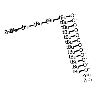 CC(C)(C)[O-].CC(C)(C)[O-].CC(C)(C)[O-].CC(C)(C)[O-].CC(C)(C)[O-].CC(C)(C)[O-].CC(C)(C)[O-].CC(C)(C)[O-].CC(C)(C)[O-].CC(C)(C)[O-].CC(C)(C)[O-].CC(C)(C)[O-].CC(C)(C)[O-].CC(C)(C)[O-].CC(C)(C)[O-].CC(C)(C)[O-].[Zr+4].[Zr+4].[Zr+4].[Zr+4]